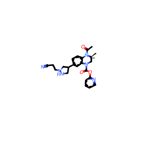 CC(=O)N1c2ccc(C3CNN(CCC#N)C3)cc2N(C(=O)Oc2ccccn2)C[C@@H]1C